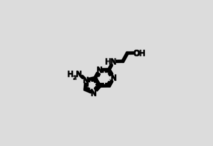 Nn1cnc2cnc(NCCO)nc21